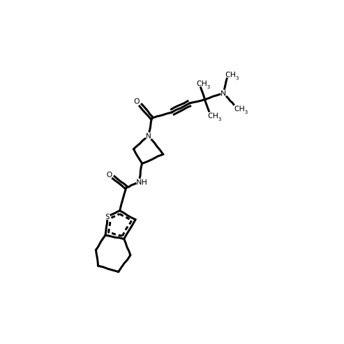 CN(C)C(C)(C)C#CC(=O)N1CC(NC(=O)c2cc3c(s2)CCCC3)C1